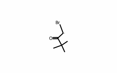 CC(C)(C)C(=O)[CH]Br